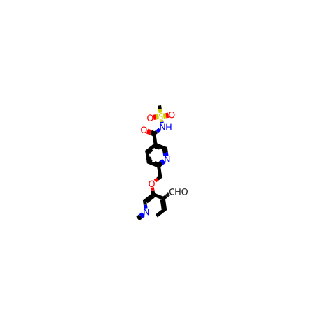 C=N/C=C(OCc1ccc(C(=O)NS(C)(=O)=O)cn1)\C(C=O)=C/C